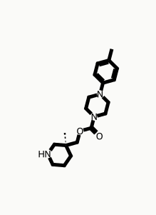 Cc1ccc(N2CCN(C(=O)OC[C@@]3(C)CCCNC3)CC2)cc1